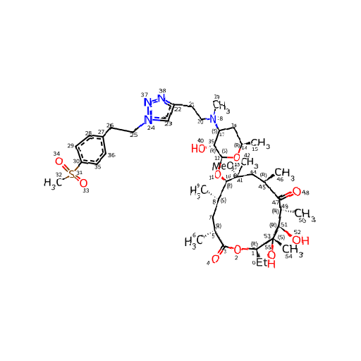 CC[C@H]1OC(=O)[C@H](C)C[C@H](C)[C@@H](O[C@@H]2O[C@H](C)C[C@H](N(C)CCc3cn(CCc4ccc(S(C)(=O)=O)cc4)nn3)[C@H]2O)[C@](C)(OC)C[C@@H](C)C(=O)[C@H](C)[C@@H](O)[C@]1(C)O